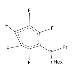 CCCCCCP(CC)c1c(F)c(F)c(F)c(F)c1F